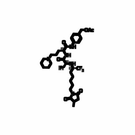 CC(=O)OCc1ccc(NC(=O)[C@H](CCCN2CCCCC2)NC(=O)[C@@H](N[C@@H](CCCCCN2C(=O)CC(C)C2=O)C(F)(F)F)C(C)C)cc1